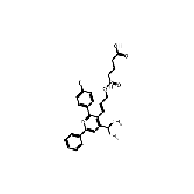 CC(C)c1cc(-c2ccccc2)nc(-c2ccc(F)cc2)c1C=CCO[PH](=O)CCCC(=O)O